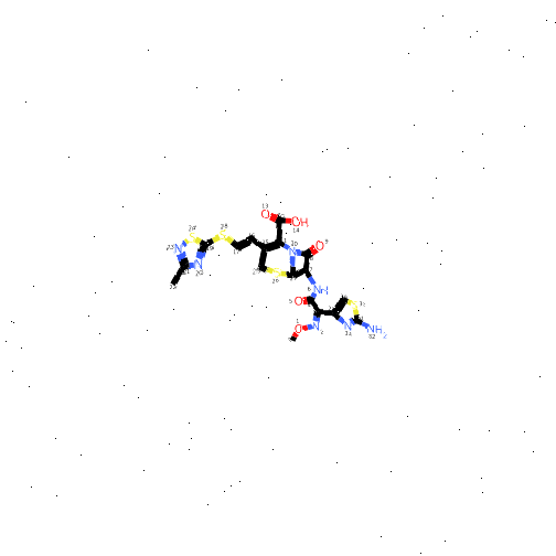 CO/N=C(\C(=O)NC1C(=O)N2C(C(=O)O)=C(/C=C/Sc3nc(C)ns3)CSC12)c1csc(N)n1